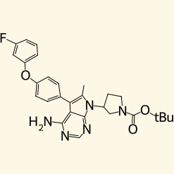 Cc1c(-c2ccc(Oc3cccc(F)c3)cc2)c2c(N)ncnc2n1C1CCN(C(=O)OC(C)(C)C)C1